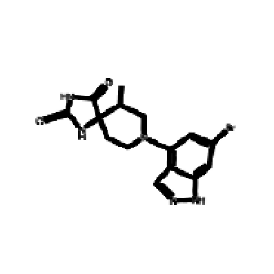 CC1CN(c2cc(Br)cc3[nH]ncc23)CCC12NC(=O)NC2=O